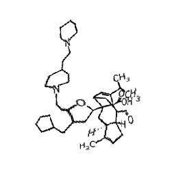 CC(C)C1=CC2CC3(C=O)[C@@H]4CC[C@@H](C)[C@H]4CC2(C2CC(CC4CCCC4)C(CN4CCC(CCN5CCCCC5)CC4)O2)[C@]13C(=O)O